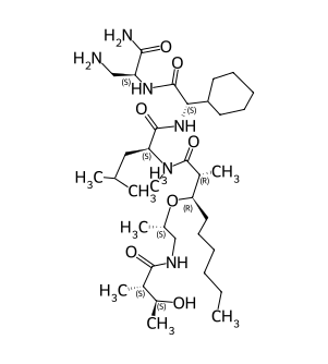 CCCCCC[C@@H](O[C@@H](C)CNC(=O)[C@@H](C)[C@H](C)O)[C@@H](C)C(=O)N(C)[C@@H](CC(C)C)C(=O)N[C@H](C(=O)N[C@@H](CN)C(N)=O)C1CCCCC1